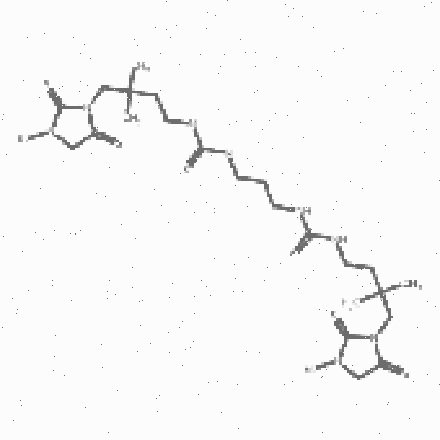 CCN1CC(=S)N(CC(C)(C)CCNC(=S)NCCCNC(=S)NCCC(C)(C)CN2C(=S)CN(CC)C2=S)C1=S